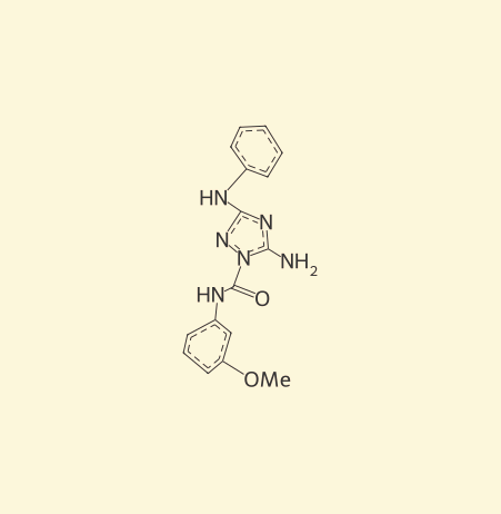 COc1cccc(NC(=O)n2nc(Nc3ccccc3)nc2N)c1